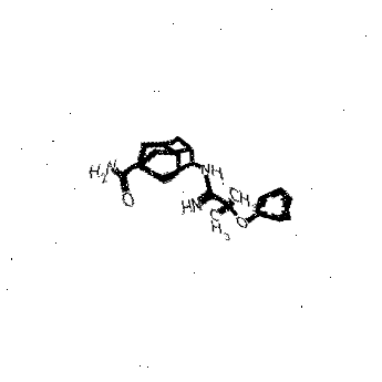 CC(C)(Oc1ccccc1)C(=N)NC1C2CC3CC1CC(C(N)=O)(C3)C2